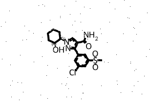 CS(=O)(=O)c1cc(Cl)cc(-c2nn([C@@H]3CCCC[C@H]3O)cc2C(N)=O)c1